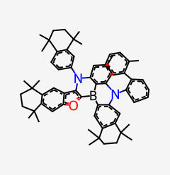 Cc1cc2c3c(c1)N(c1ccc4c(c1)C(C)(C)CCC4(C)C)c1c(oc4cc5c(cc14)C(C)(C)CCC5(C)C)B3c1cc3c(cc1N2c1ccccc1-c1ccccc1C)C(C)(C)CCC3(C)C